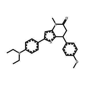 CCN(CC)c1ccc(-c2cc3c(s2)C(c2ccc(OC)cc2)CC(=O)N3C)cc1